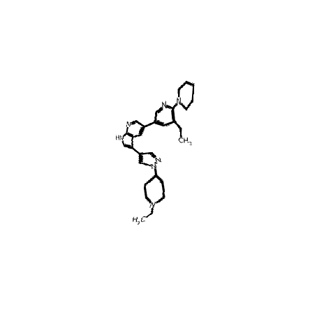 CCc1cc(-c2cnc3[nH]cc(-c4cnn(C5CCN(CC)CC5)c4)c3c2)cnc1N1CCCCC1